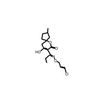 CCC(=NOCC=CCl)C1=C(O)CC2(CCC(C)C2)OC1=O